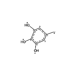 [CH]c1cc(O)c(O)c(O)c1